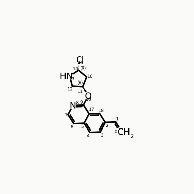 C=Cc1ccc2ccnc(O[C@H]3CN[C@H](Cl)C3)c2c1